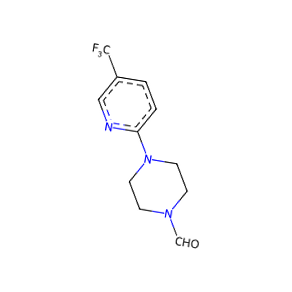 O=CN1CCN(c2ccc(C(F)(F)F)cn2)CC1